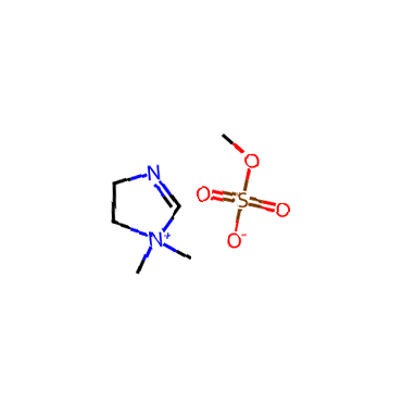 COS(=O)(=O)[O-].C[N+]1(C)C=NCC1